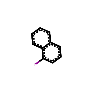 Ic1cccc2c[c]ccc12